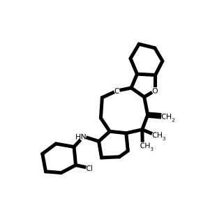 C=C1C2OC3CCCCC3C2CCCC2C(NC3CCCCC3Cl)CCCC2C1(C)C